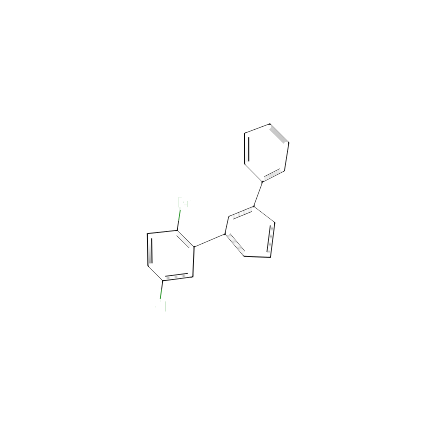 Clc1ccc(Br)c(-c2cccc(-c3ccccc3)c2)c1